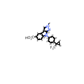 Cn1cc2c3cc(C(=O)O)ccc3n(-c3ccc(C4(C(F)(F)F)CC4)cc3)c2n1